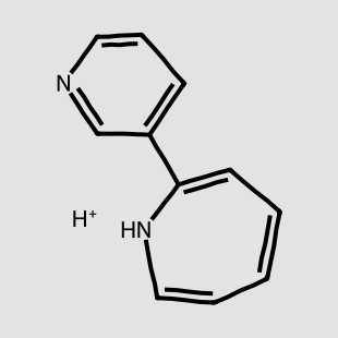 C1=CC=C(c2cccnc2)NC=C1.[H+]